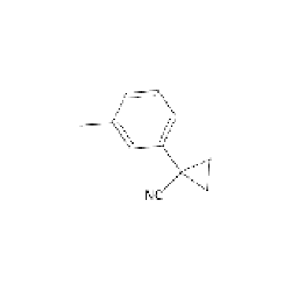 Cc1cccc(C2(C#N)CC2)c1